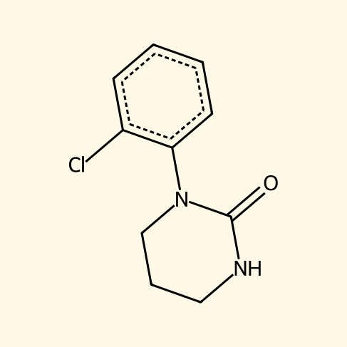 O=C1NCCCN1c1ccccc1Cl